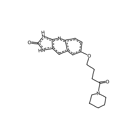 O=C(CCCOc1ccc2nc3[nH]c(=O)[nH]c3cc2c1)N1CCCCC1